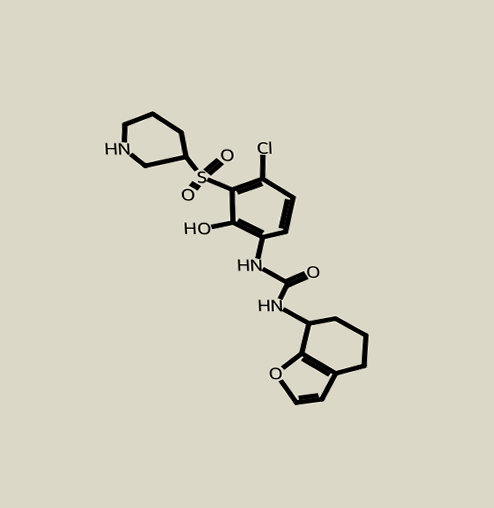 O=C(Nc1ccc(Cl)c(S(=O)(=O)C2CCCNC2)c1O)NC1CCCc2ccoc21